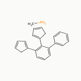 C1=CCC(c2cccc(-c3ccccc3)c2C2=CC=CC2)=C1.CP